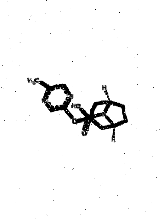 Cc1cnc(OC2C[C@H]3CC[C@@H](C2)N3C(=O)O)cn1